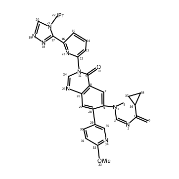 C=C(/N=C\N(C)c1cc2c(=O)n(-c3cccc(-c4nncn4C(C)C)n3)cnc2cc1-c1ccc(OC)nc1)C1CC1